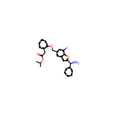 CC(C)OC(=O)Cc1ccccc1OCc1cc(I)c2oc(C(N)c3ccccc3)cc2c1